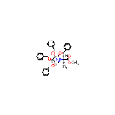 COC(=O)C(C)(C)NC[C@H](OCc1ccccc1)[C@H](OCc1ccccc1)[C@@H](COCc1ccccc1)OCc1ccccc1